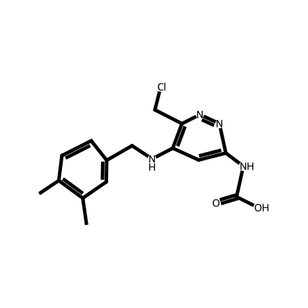 Cc1ccc(CNc2cc(NC(=O)O)nnc2CCl)cc1C